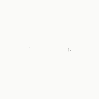 N#C[C]1CC=Cc2c(C#N)cccc21